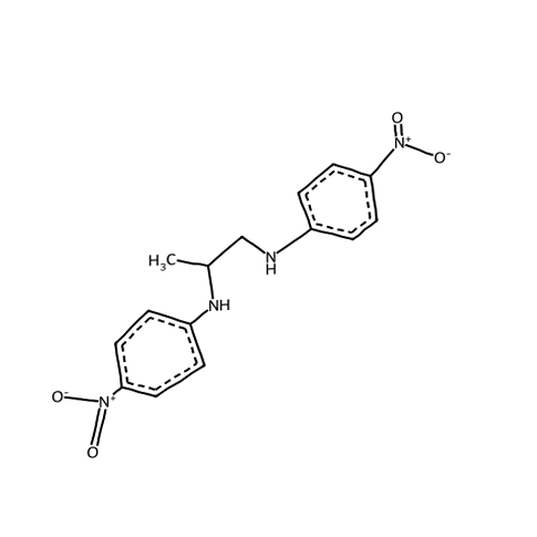 CC(CNc1ccc([N+](=O)[O-])cc1)Nc1ccc([N+](=O)[O-])cc1